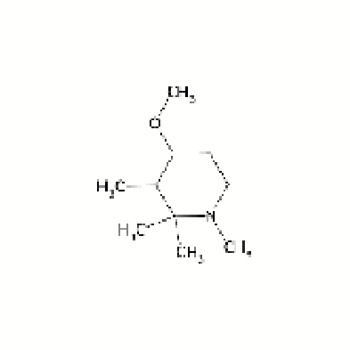 COC1CCN(C)C(C)(C)C1C